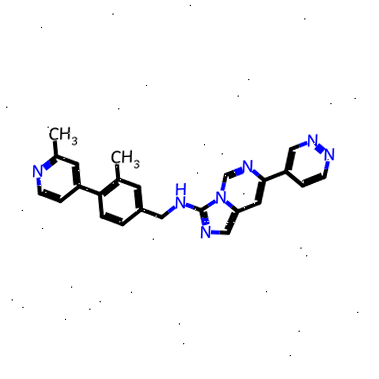 Cc1cc(-c2ccc(CNc3ncc4cc(-c5ccnnc5)ncn34)cc2C)ccn1